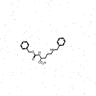 O=C(N[C@@H](CCCNCc1ccccc1)C(=O)O)OCc1ccccc1